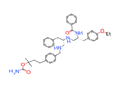 CCOc1ccc(C[C@H](CN[C@H](CNCc2ccc(CCC(C)(C)OC(N)=O)cc2)Cc2ccccc2)NC(=O)c2ccccc2)cc1